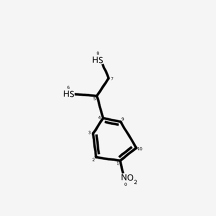 O=[N+]([O-])c1ccc(C(S)CS)cc1